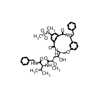 CO[C@H](C[C@H](O)[C@@H]1COc2cccc(c2)C(Cc2ccccc2)NC(=O)c2cc(cc(N(C)S(C)(=O)=O)c2)C(=O)N1)C(=O)N[C@H](C(=O)NCc1ccccc1)C(C)C